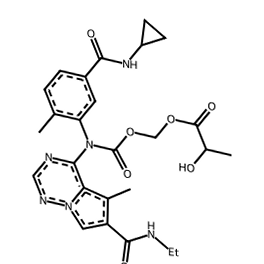 CCNC(=O)c1cn2ncnc(N(C(=O)OCOC(=O)C(C)O)c3cc(C(=O)NC4CC4)ccc3C)c2c1C